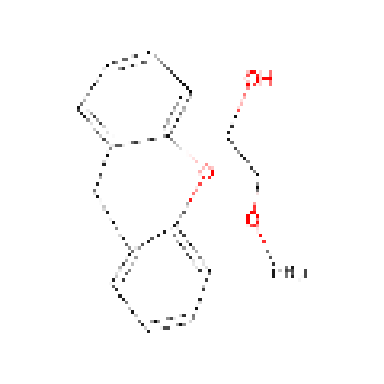 CCCCOCCO.c1ccc2c(c1)Cc1ccccc1O2